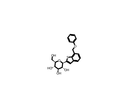 OC[C@H]1O[C@@H](c2cc3cccc(COc4ccccc4)c3s2)[C@H](O)[C@@H](O)[C@@H]1O